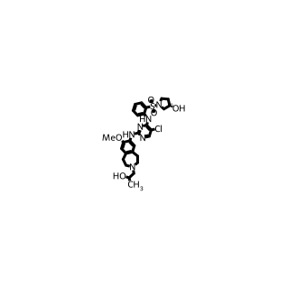 COc1cc2c(cc1Nc1ncc(Cl)c(Nc3ccccc3S(=O)(=O)N3CC[C@@H](O)C3)n1)CCN(CC(C)O)CC2